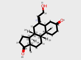 C[C@]12CCC(=O)CC1/C(=C\CO)C[C@@H]1[C@H]2CC[C@]2(C)C(=O)CC[C@@H]12